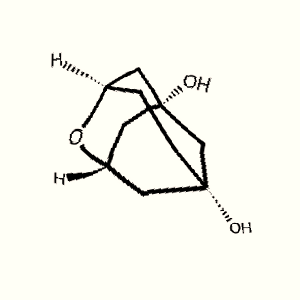 O[C@]12C[C@@H]3C[C@@](O)(C[C@H](C1)O3)C2